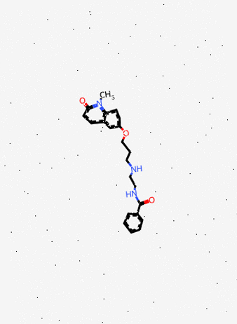 Cn1c(=O)ccc2cc(OCCCNCCNC(=O)c3ccccc3)ccc21